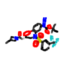 CC1CN(C(=O)C[C@H]2CN(S(=O)(=O)c3cccc(C(F)(F)F)c3)c3cc(NC(=O)OC(C)(C)C)ccc3O2)C1